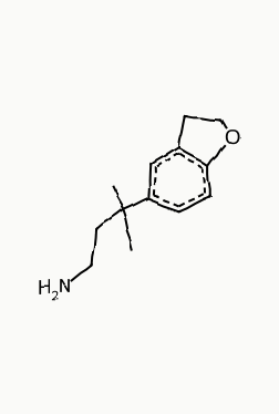 CC(C)(CCN)c1ccc2c(c1)CCO2